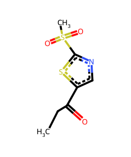 CCC(=O)c1cnc(S(C)(=O)=O)s1